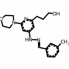 Cc1cccc(C=NNc2cc(CCCO)nc(N3CCOCC3)c2)c1